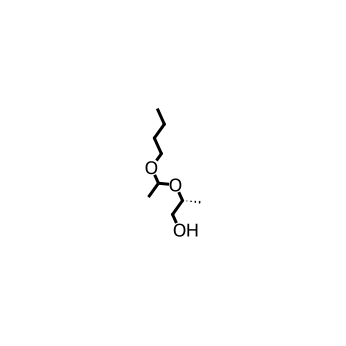 CCCCOC(C)O[C@H](C)CO